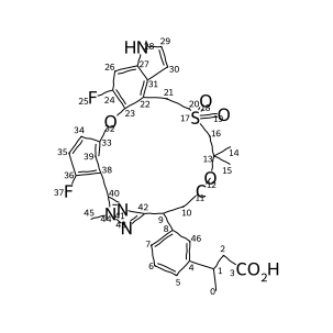 CC(CC(=O)O)c1cccc(C2CCOC(C)(C)CS(=O)(=O)CCc3c(c(F)cc4[nH]ccc34)Oc3ccc(F)c(c3)-c3nc2nn3C)c1